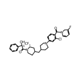 O=C(c1ccc(N2CCC(CC3CCN(C(=O)[C@](O)(c4ccccc4)C(F)(F)F)CC3)CC2)cc1Cl)N1C=CC=C(F)C1